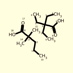 CCC(CC)(CC)C(=O)O.CCCC(C)(C)C(=O)O